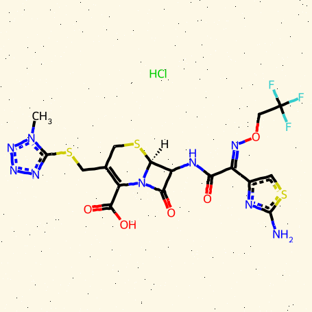 Cl.Cn1nnnc1SCC1=C(C(=O)O)N2C(=O)C(NC(=O)C(=NOCC(F)(F)F)c3csc(N)n3)[C@@H]2SC1